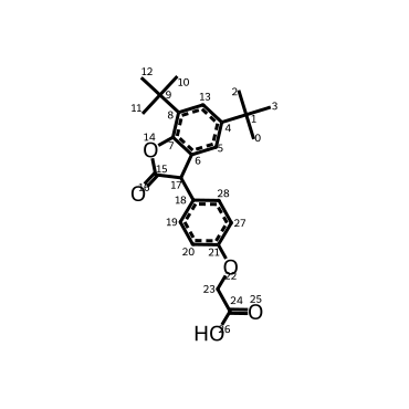 CC(C)(C)c1cc2c(c(C(C)(C)C)c1)OC(=O)C2c1ccc(OCC(=O)O)cc1